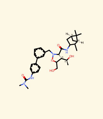 CC1C(NC(=O)C2[C@H]([C@H](C)O)C(CO)ON2Cc2cccc(-c3ccc(NC(=O)N(C)C)cc3)c2)C[C@@H]2C[C@H]1C2(C)C